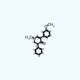 COc1cccc(C2=CN(C)CC(c3ccccc3)C2=O)c1